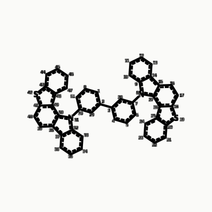 c1cc(-c2cccc(-n3c4ccccc4c4ccc5sc6ccccc6c5c43)c2)cc(-n2c3ccccc3c3ccc4sc5ccccc5c4c32)c1